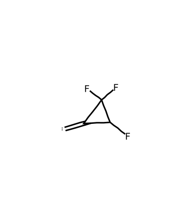 [C]=C1C(F)C1(F)F